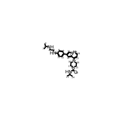 CC(C)NCCNc1ccc(-c2cc3c(N4CCN(C(=O)NC(C)C)CC4)ccnn3c2)cc1